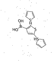 OB(O)c1cc([SH]2C=CC=C2)sc1[SH]1C=CC=C1